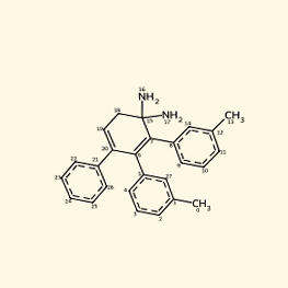 Cc1cccc(C2=C(c3cccc(C)c3)C(N)(N)CC=C2c2ccccc2)c1